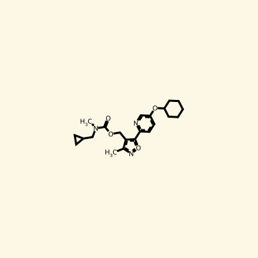 Cc1noc(-c2ccc(OC3CCCCC3)cn2)c1COC(=O)N(C)CC1CC1